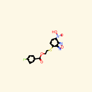 O=C(OCCSc1ccc([N+](=O)O)c2nonc12)c1ccc(F)cc1